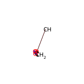 C#CC#CC#CC#CC#CC#CC#CC#CC#CC#CC#CC#CC#CC#CC#CC#CC#CC#COC(=O)C(=C=C=C=C)N1C(=O)C=CC1=O